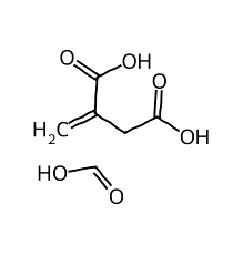 C=C(CC(=O)O)C(=O)O.O=CO